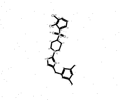 Cc1cc(C)cc(Cc2csc(N3CCC(S(=O)(=O)c4cccc(Cl)c4Cl)CC3)n2)c1